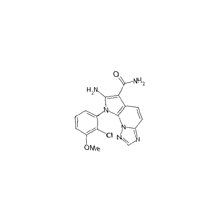 COc1cccc(-n2c(N)c(C(N)=O)c3ccc4ncnn4c32)c1Cl